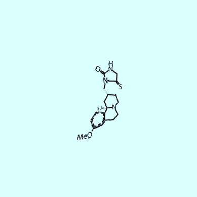 COc1ccc2c(c1)CCN1CC[C@@H](CN3C(=O)NCC3=S)C[C@@H]21